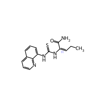 CC/C=C(/NC(=S)Nc1cccc2cccnc12)C(N)=O